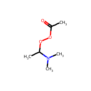 CC(=O)OOC(C)N(C)C